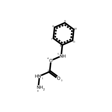 NNC(=O)ONc1ccccc1